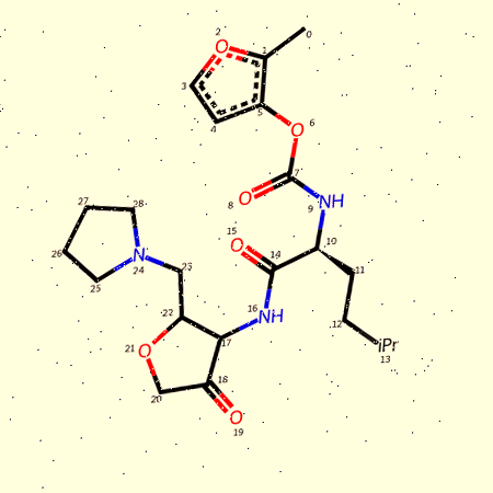 Cc1occc1OC(=O)N[C@@H](CCC(C)C)C(=O)NC1C(=O)COC1CN1CCCC1